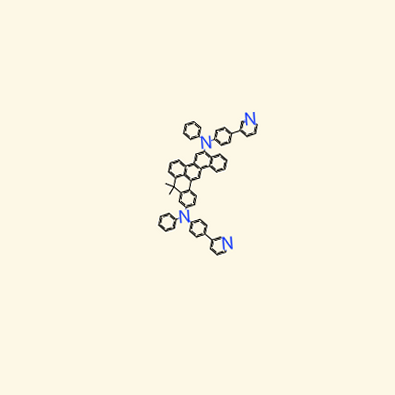 CC1(C)c2cc(N(c3ccccc3)c3ccc(-c4cccnc4)cc3)ccc2-c2cc3c4ccccc4c(N(c4ccccc4)c4ccc(-c5cccnc5)cc4)cc3c3cccc1c23